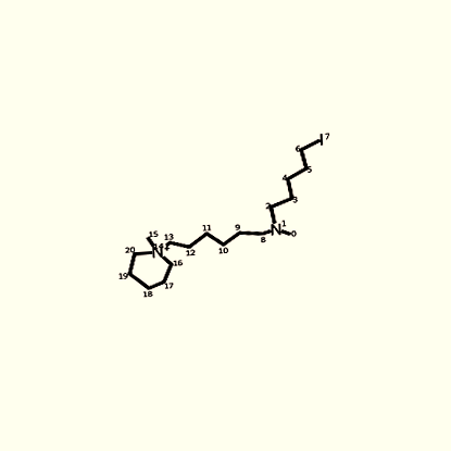 CN(CCCCCI)CCCCCC[N+]1(C)CCCCC1